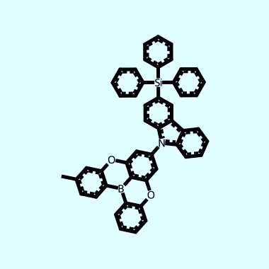 Cc1ccc2c(c1)Oc1cc(-n3c4ccccc4c4cc([Si](c5ccccc5)(c5ccccc5)c5ccccc5)ccc43)cc3c1B2c1ccccc1O3